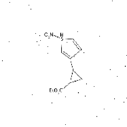 CCOC(=O)C1CC1C1=C[SH]([N+](=O)[O-])C=C1